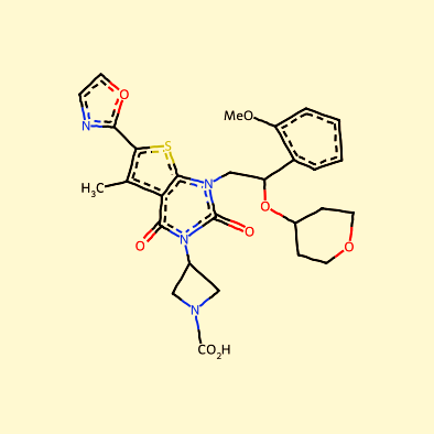 COc1ccccc1C(Cn1c(=O)n(C2CN(C(=O)O)C2)c(=O)c2c(C)c(-c3ncco3)sc21)OC1CCOCC1